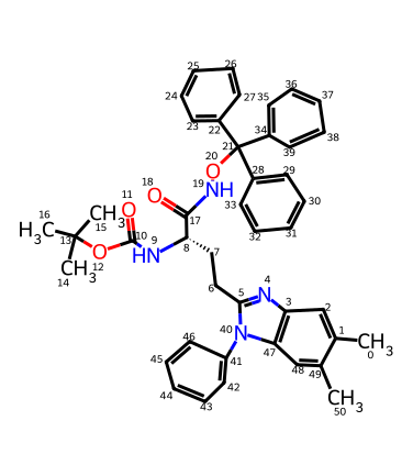 Cc1cc2nc(CC[C@H](NC(=O)OC(C)(C)C)C(=O)NOC(c3ccccc3)(c3ccccc3)c3ccccc3)n(-c3ccccc3)c2cc1C